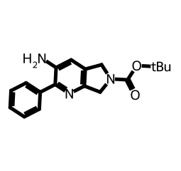 CC(C)(C)OC(=O)N1Cc2cc(N)c(-c3ccccc3)nc2C1